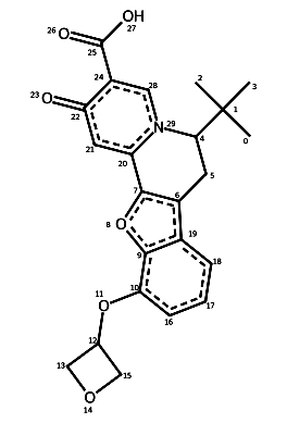 CC(C)(C)C1Cc2c(oc3c(OC4COC4)cccc23)-c2cc(=O)c(C(=O)O)cn21